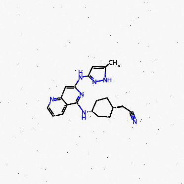 Cc1cc(Nc2cc3ncccc3c(N[C@H]3CC[C@H](CC#N)CC3)n2)n[nH]1